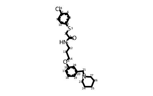 O=C(CSc1ccc(Cl)cc1)NCCCOc1cccc(CN2CCCCC2)c1